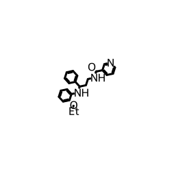 CCOc1ccccc1NC(CCNC(=O)c1cccnc1)c1ccccc1